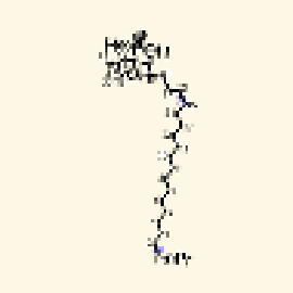 CCC/C=C\CCCCCCCCCCCC/C=C\CCCCC(O)(C[N+](C)(C)C)P(=O)(O)O